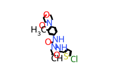 C#CCN(NC(=O)c1ccc(Cl)s1)C(=O)Nc1ccc(N2CCOCC2=O)c(C)c1